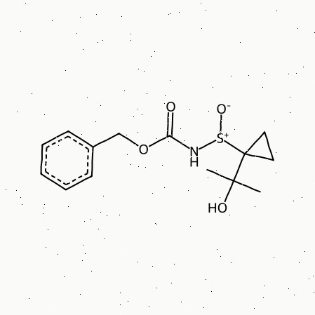 CC(C)(O)C1([S+]([O-])NC(=O)OCc2ccccc2)CC1